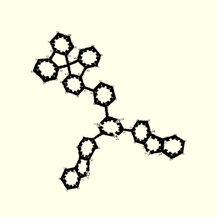 c1cc(-c2nc(-c3ccc4c(c3)oc3ccccc34)nc(-c3ccc4c(c3)oc3ccccc34)n2)cc(-c2cccc3c2-c2ccccc2C32c3ccccc3-c3ccccc32)c1